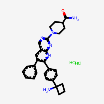 Cl.Cl.NC(=O)C1CCN(c2ncc3cc(-c4ccccc4)c(-c4ccc(C5(N)CCC5)cc4)nc3n2)CC1